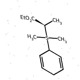 CCOC(=O)[C@@H](C)S(C)(C)C1C=CCC=C1